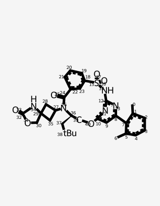 Cc1cccc(C)c1-c1cc2nc(n1)NS(=O)(=O)c1cccc(c1)C(=O)N(C1CC3(COC(=O)N3)C1)[C@H](CC(C)(C)C)CO2